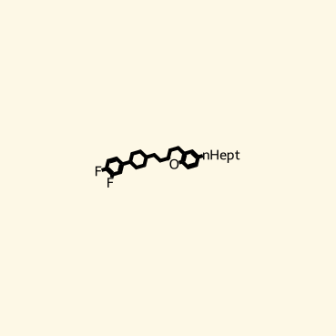 CCCCCCCc1ccc2c(c1)CCC(CCC1CCC(c3ccc(F)c(F)c3)CC1)O2